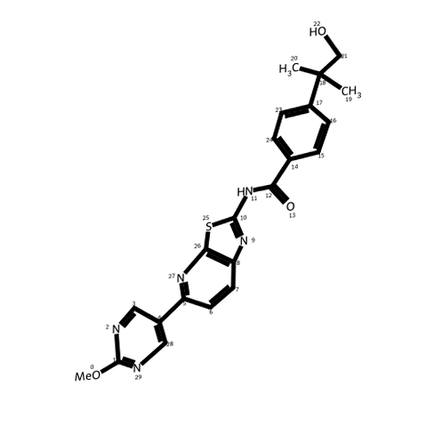 COc1ncc(-c2ccc3nc(NC(=O)c4ccc(C(C)(C)CO)cc4)sc3n2)cn1